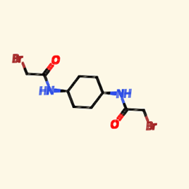 O=C(CBr)N[C@H]1CC[C@@H](NC(=O)CBr)CC1